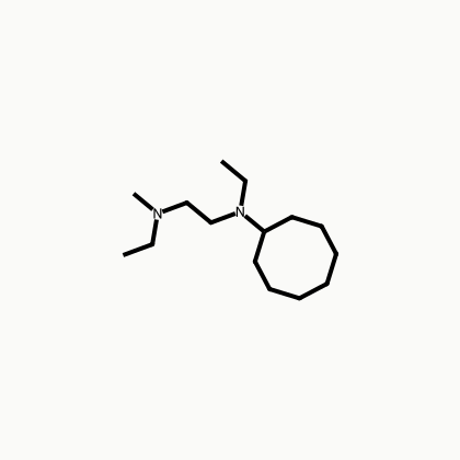 CCN(C)CCN(CC)C1CCCCCCC1